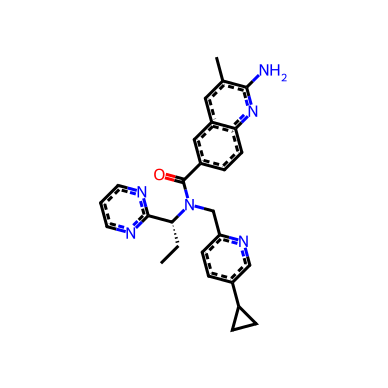 CC[C@H](c1ncccn1)N(Cc1ccc(C2CC2)cn1)C(=O)c1ccc2nc(N)c(C)cc2c1